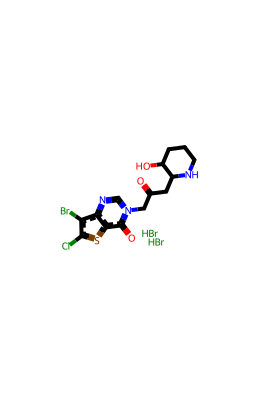 Br.Br.O=C(CC1NCCCC1O)Cn1cnc2c(Br)c(Cl)sc2c1=O